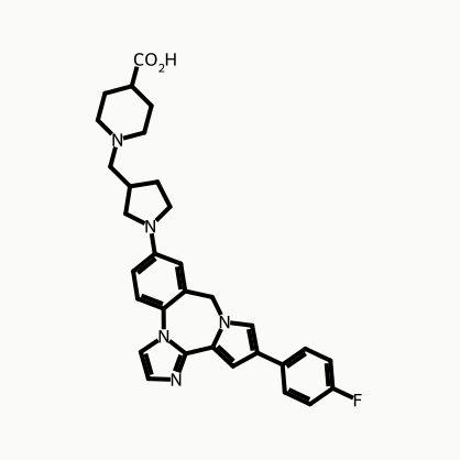 O=C(O)C1CCN(CC2CCN(c3ccc4c(c3)Cn3cc(-c5ccc(F)cc5)cc3-c3nccn3-4)C2)CC1